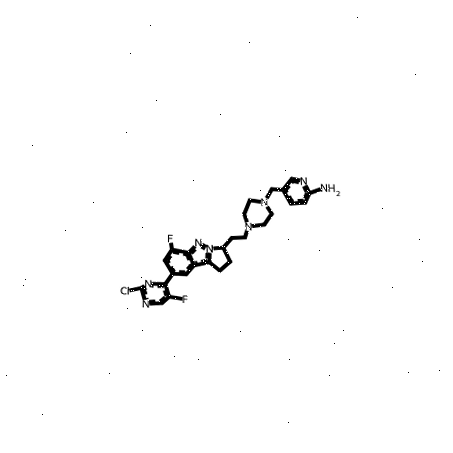 Nc1ccc(CN2CCN(CCC3CCc4c5cc(-c6nc(Cl)ncc6F)cc(F)c5nn43)CC2)cn1